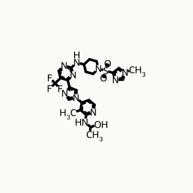 Cc1c(-n2cnc(-c3nc(NC4CCN(S(=O)(=O)c5cn(C)cn5)CC4)ncc3C(F)(F)F)c2)ccnc1NC(C)O